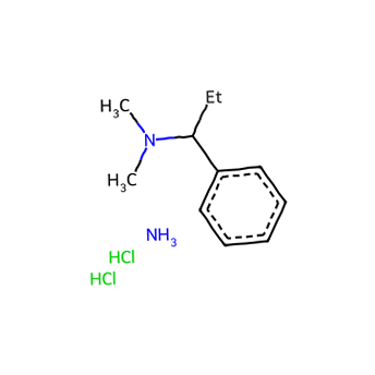 CCC(c1ccccc1)N(C)C.Cl.Cl.N